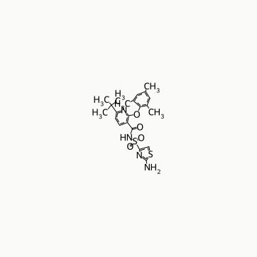 Cc1cc(C)c(Oc2nc(C(C)(C)C)ccc2C(=O)NS(=O)(=O)c2csc(N)n2)c(C)c1